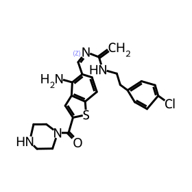 C=C(/N=C\c1ccc2sc(C(=O)N3CCNCC3)cc2c1N)NCCc1ccc(Cl)cc1